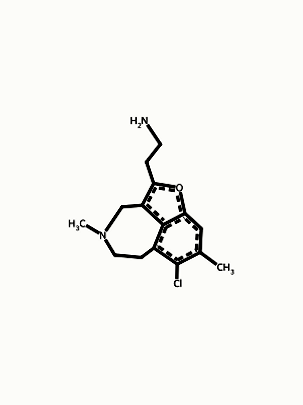 Cc1cc2oc(CCN)c3c2c(c1Cl)CCN(C)C3